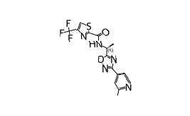 Cc1cc(-c2noc([C@H](C)NC(=O)c3nc(C(F)(F)F)cs3)n2)ccn1